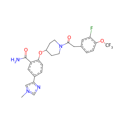 Cn1cnc(-c2ccc(OC3CCN(C(=O)Cc4ccc(OC(F)(F)F)c(F)c4)CC3)c(C(N)=O)c2)c1